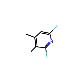 Cc1cc(F)nc(F)c1C